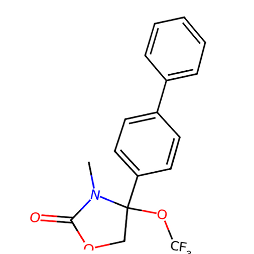 CN1C(=O)OCC1(OC(F)(F)F)c1ccc(-c2ccccc2)cc1